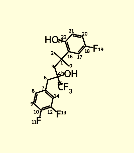 CC(C)(CC(O)(Cc1ccc(F)c(F)c1)C(F)(F)F)c1cc(F)ccc1O